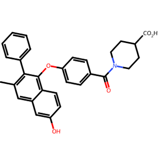 Cc1cc2cc(O)ccc2c(Oc2ccc(C(=O)N3CCC(C(=O)O)CC3)cc2)c1-c1ccccc1